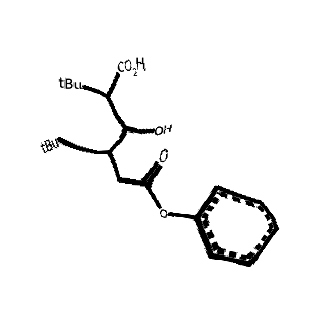 CC(C)(C)C(CC(=O)Oc1ccccc1)C(O)C(C(=O)O)C(C)(C)C